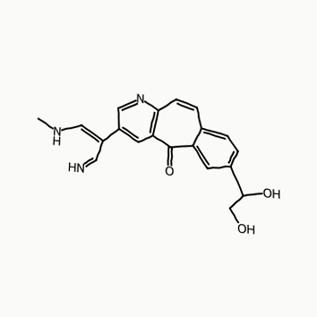 CN/C=C(\C=N)c1cnc2ccc3ccc(C(O)CO)cc3c(=O)c2c1